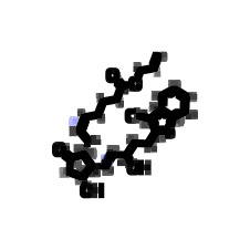 C=CCOC(=O)CCC/C=C\C[C@H]1C(=O)C[C@@H](O)[C@@H]1/C=C/C(O)CCc1sc2ccccc2c1Cl